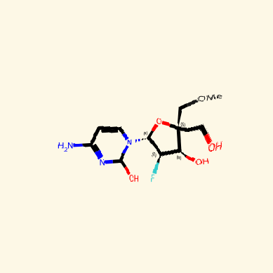 COC[C@]1(CO)O[C@@H](N2C=CC(N)=NC2O)[C@H](F)[C@@H]1O